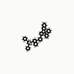 c1ccc(-c2cc(-c3ccccc3)nc(-c3ccc(-c4cccc(-c5ccc6c(c5)C(c5ccccc5)(c5ccccc5)c5cc7ccccc7cc5-6)c4)c4ccccc34)n2)cc1